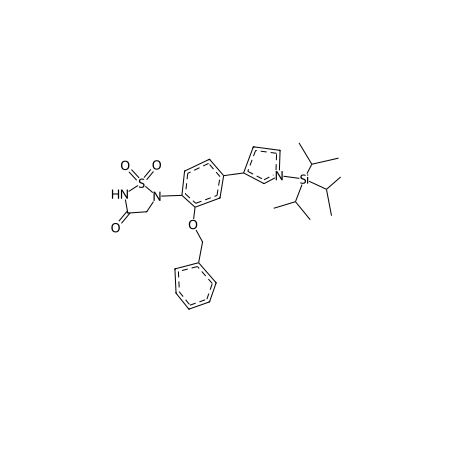 CC(C)[Si](C(C)C)(C(C)C)n1ccc(-c2ccc(N3CC(=O)NS3(=O)=O)c(OCc3ccccc3)c2)c1